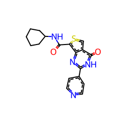 O=C(NC1CCCCC1)c1scc2c(=O)[nH]c(-c3ccncc3)nc12